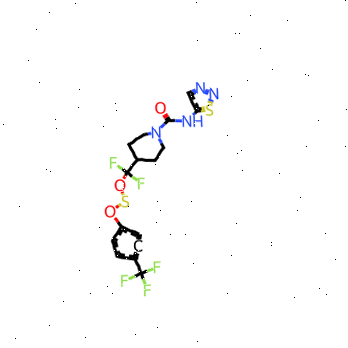 O=C(Nc1cnns1)N1CCC(C(F)(F)OSOc2ccc(C(F)(F)F)cc2)CC1